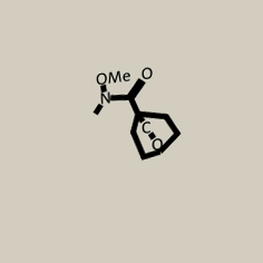 CON(C)C(=O)C12CCC(CC1)OC2